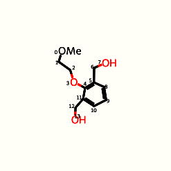 COCCOc1c(CO)cccc1CO